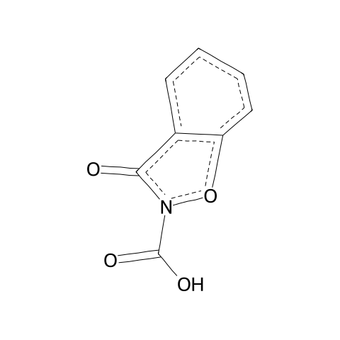 O=C(O)n1oc2ccccc2c1=O